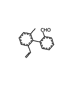 C=Cc1cccc(C)c1-c1ccccc1C=O